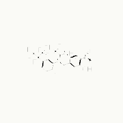 Cc1cc(CN(C2=CC(C(F)(C(F)(F)F)C(F)(F)F)=CC[C@H]2C)C(N)C(F)(F)F)ccc1[N+](=O)[O-]